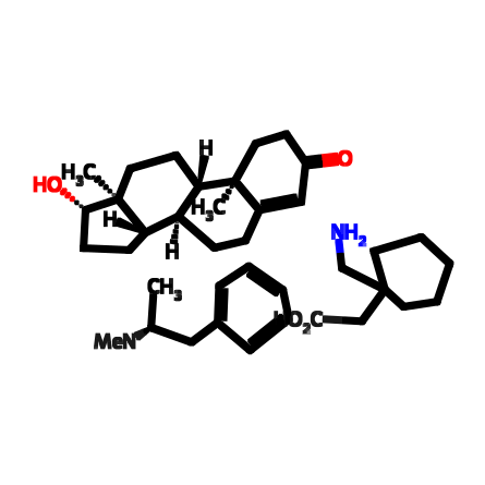 CN[C@@H](C)Cc1ccccc1.C[C@]12CC[C@H]3[C@@H](CCC4=CC(=O)CC[C@@]43C)[C@@H]1CC[C@@H]2O.NCC1(CC(=O)O)CCCCC1